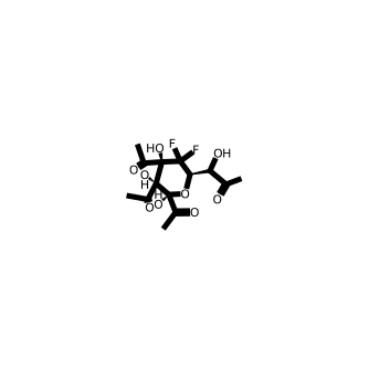 CC(=O)C(O)[C@H]1O[C@@](O)(C(C)=O)[C@@](O)(C(C)=O)[C@](O)(C(C)=O)C1(F)F